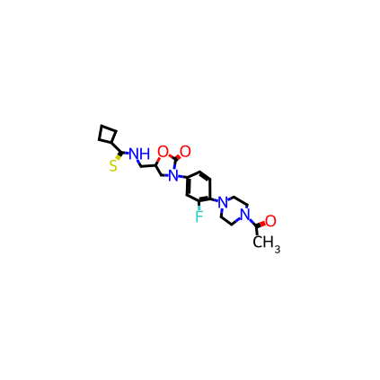 CC(=O)N1CCN(c2ccc(N3CC(CNC(=S)C4CCC4)OC3=O)cc2F)CC1